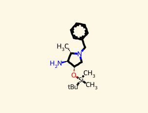 C[C@H]1[C@H](N)[C@@H](O[Si](C)(C)C(C)(C)C)CN1Cc1ccccc1